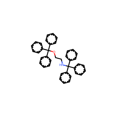 c1ccc(C(NCCOC(c2ccccc2)(c2ccccc2)c2ccccc2)(c2ccccc2)c2ccccc2)cc1